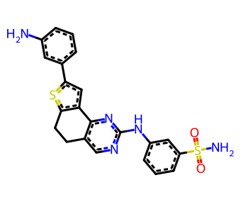 Nc1cccc(-c2cc3c(s2)CCc2cnc(Nc4cccc(S(N)(=O)=O)c4)nc2-3)c1